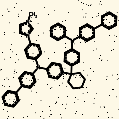 C[n+]1ccn(-c2ccc(N(c3ccc(-c4ccccc4)cc3)c3ccc(C4(c5ccc(N(c6ccccc6)c6ccc(-c7ccccc7)cc6)cc5)CCCCC4)cc3)cc2)c1